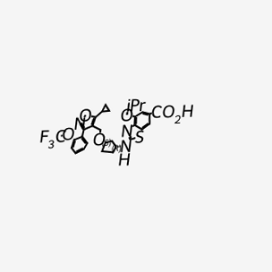 CC(C)Oc1cc(C(=O)O)cc2sc(N[C@@H]3CC[C@H](OCc4c(-c5ccccc5OC(F)(F)F)noc4C4CC4)C3)nc12